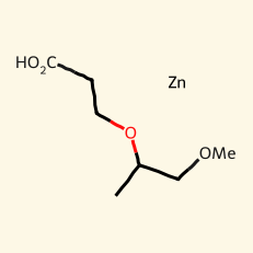 COCC(C)OCCC(=O)O.[Zn]